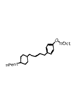 CCCCCCCCOc1ccc(CCCCC2CCC(CCCCC)CC2)cc1